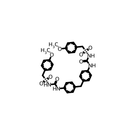 COc1ccc(CS(=O)(=O)NC(=O)Nc2ccc(Cc3ccc(NC(=O)NS(=O)(=O)Cc4ccc(OC)cc4)cc3)cc2)cc1